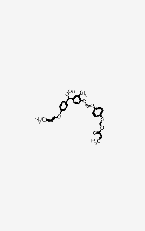 C=CCOc1ccc(C(OO)c2ccc(OOOc3ccc(OCOC(=O)C=C)cc3)c(C)c2)cc1